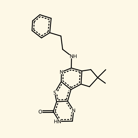 CC1(C)Cc2c(NCCc3ccccc3)nc3sc4c(=O)[nH]cnc4c3c2C1